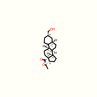 CC(=O)[C@H]1CC[C@H]2[C@@H]3CC[C@H]4C[C@H](CO)CC[C@]4(C)[C@H]3CC[C@]12C(C)=O